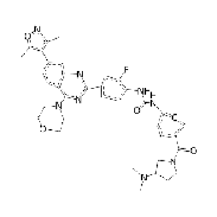 Cc1noc(C)c1-c1ccc2c(N3CCOCC3)nc(-c3ccc(NC(=O)Nc4ccc(C(=O)N5CCC(N(C)C)C5)cc4)c(F)c3)nc2c1